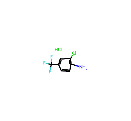 Cl.Nc1ccc(C(F)(F)F)cc1Cl